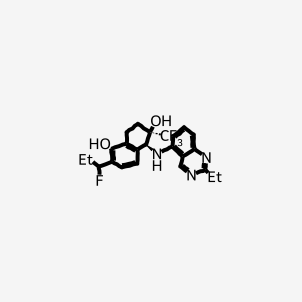 CCc1ncc2c(N[C@H]3c4ccc(C(F)CC)c(O)c4CC[C@]3(O)C(F)(F)F)cccc2n1